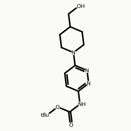 CC(C)(C)OC(=O)Nc1ccc(N2CCC(CO)CC2)nn1